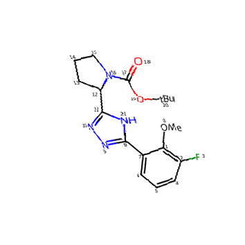 COc1c(F)cccc1-c1nnc(C2CCCN2C(=O)OC(C)(C)C)[nH]1